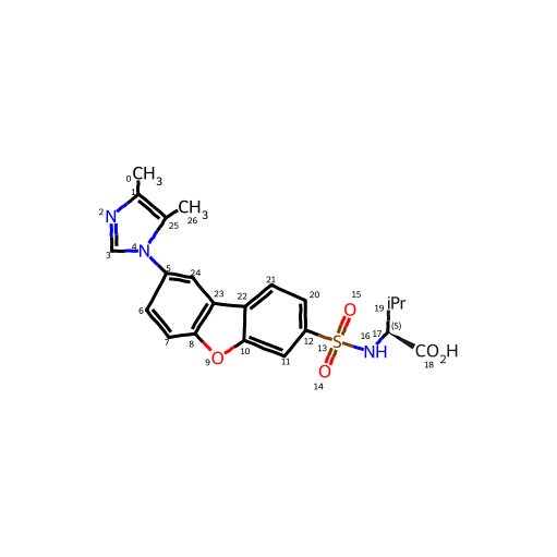 Cc1ncn(-c2ccc3oc4cc(S(=O)(=O)N[C@H](C(=O)O)C(C)C)ccc4c3c2)c1C